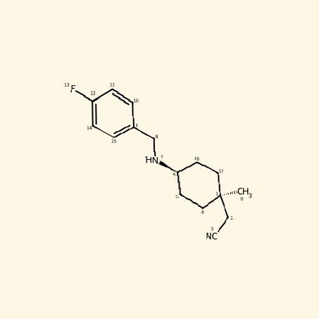 C[C@]1(CC#N)CC[C@@H](NCc2ccc(F)cc2)CC1